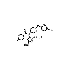 CC(C)(C)c1cc(N(C(=O)[C@H]2CC[C@H](C)CC2)[C@H]2CC[C@H](Oc3ccc(C#N)cn3)CC2)c(C(=O)O)s1